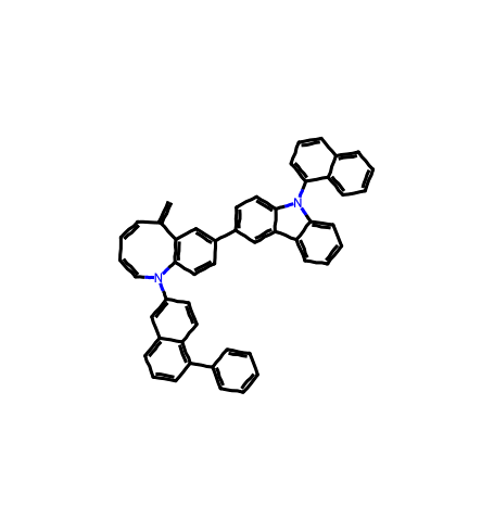 C=C1/C=C\C=C/N(c2ccc3c(-c4ccccc4)cccc3c2)c2ccc(-c3ccc4c(c3)c3ccccc3n4-c3cccc4ccccc34)cc21